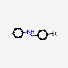 CCc1ccc(CNc2cc[c]cc2)cc1